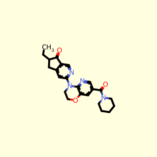 CCC1Cc2cc(N3CCOc4cc(C(=O)N5CCCCC5)cnc43)ncc2C1=O